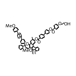 CCC1(OC)c2ccccc2-c2c1c1c(c3cc(C)c(OC(=O)c4ccc(-c5ccc(OC(=O)c6ccc(OCCO)cc6)cc5)cc4)cc23)OC(c2ccccc2)(c2ccc(N3CCN(c4ccc(OC)cc4)CC3)cc2)C=C1